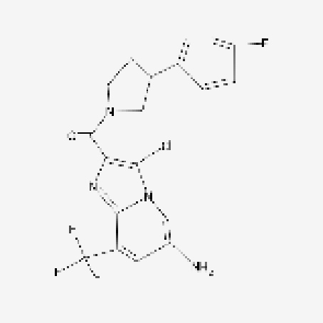 Nc1cc(C(F)(F)F)c2nc(C(=O)N3CCC(c4ccc(F)cc4)C3)c(Cl)n2c1